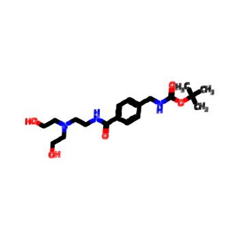 CC(C)(C)OC(=O)NCc1ccc(C(=O)NCCN(CCO)CCO)cc1